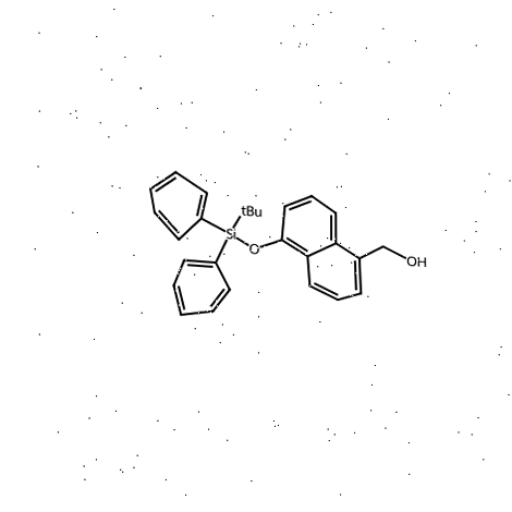 CC(C)(C)[Si](Oc1cccc2c(CO)cccc12)(c1ccccc1)c1ccccc1